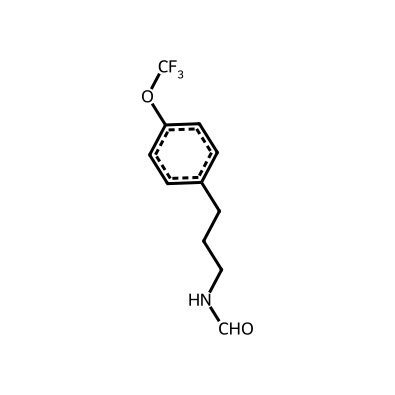 O=CNCCCc1ccc(OC(F)(F)F)cc1